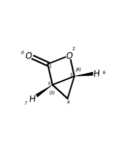 O=C1O[C@@H]2C[C@H]12